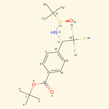 CC(C)(C)OC(=O)c1ccc([C@H](N[S@+]([O-])C(C)(C)C)C(F)(F)F)cc1